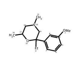 CCC1(c2cccc(OC)c2)CN(C)CC(C)O1